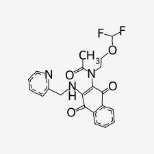 CC(=O)N(CCOC(F)F)C1=C(NCc2ccccn2)C(=O)c2ccccc2C1=O